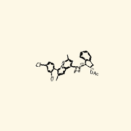 CC(=O)O[C@H]1Cc2ccccc2[C@@H]1Nc1cc(C)nn2c(-c3ccc(Cl)cc3Cl)c(C)cc12